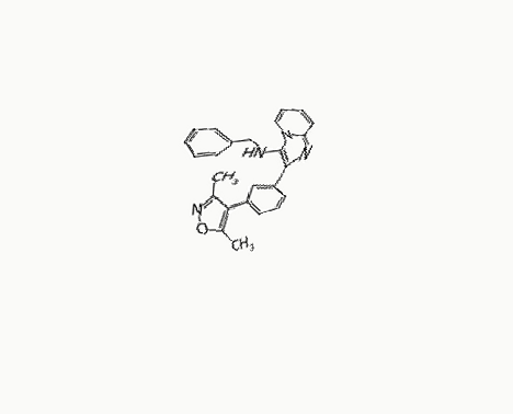 Cc1noc(C)c1-c1cccc(-c2nc3ccccn3c2NCc2ccccc2)c1